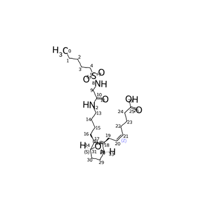 CCCCCS(=O)(=O)NCC(=O)NCCCC[C@H]1[C@@H](C/C=C\CCCC(=O)O)[C@H]2CC[C@@H]1O2